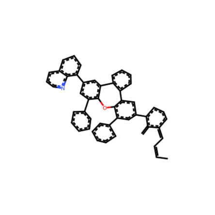 C=c1c(-c2cc(-c3ccccc3)c3c(c2)-c2ccccc2-c2cc(-c4cccc5cccnc45)cc(-c4ccccc4)c2O3)ccc/c1=C/C=C\C